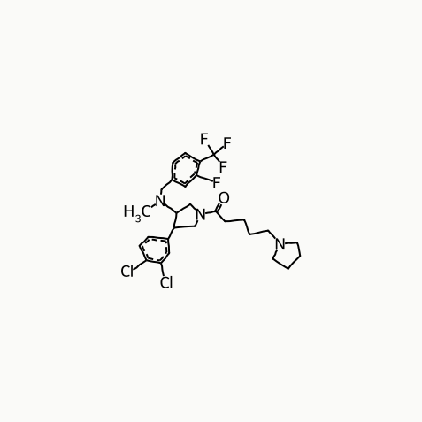 CN(Cc1ccc(C(F)(F)F)c(F)c1)C1CN(C(=O)CCCCN2CCCC2)CC1c1ccc(Cl)c(Cl)c1